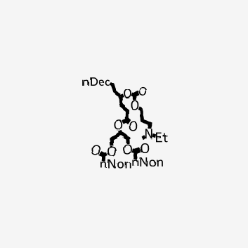 CCCCCCCCCCCCC(CCC(=O)OC(COC(=O)CCCCCCCCC)COC(=O)CCCCCCCCC)OC(=O)OCCCN(C)CC